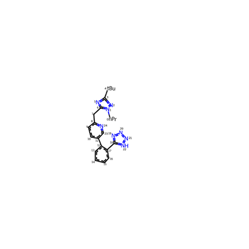 CCCn1nc(C(C)(C)C)nc1Cc1ccc(-c2ccccc2-c2nnn[nH]2)cn1